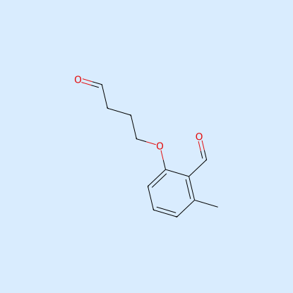 Cc1cccc(OCCCC=O)c1C=O